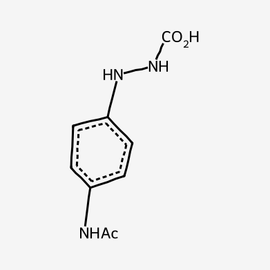 CC(=O)Nc1ccc(NNC(=O)O)cc1